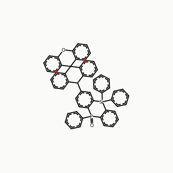 O=P1(c2ccccc2)c2ccccc2[Si](c2ccccc2)(c2ccccc2)c2cc(C3c4ccccc4C4(c5ccccc5Oc5ccccc54)c4ccccc43)ccc21